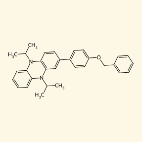 CC(C)N1c2ccccc2N(C(C)C)c2cc(-c3ccc(OCc4ccccc4)cc3)ccc21